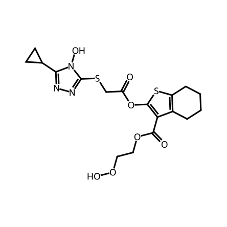 O=C(CSc1nnc(C2CC2)n1O)Oc1sc2c(c1C(=O)OCCOO)CCCC2